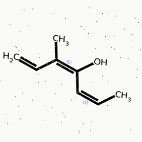 C=C/C(C)=C(O)\C=C/C